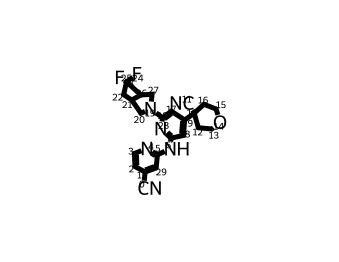 N#Cc1ccnc(Nc2cc(C3(C#N)CCOCC3)cc(N3CC4CC(F)(F)C4C3)n2)c1